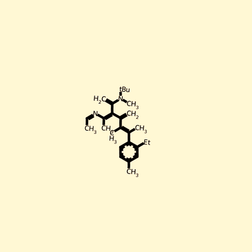 C=C(/C(C(=C)N(C)C(C)(C)C)=C(C)/N=C\C)/C(C)=C(\C)c1ccc(C)cc1CC